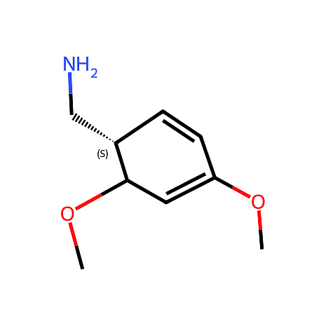 COC1=CC(OC)[C@H](CN)C=C1